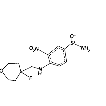 N[S+]([O-])c1ccc(NCC2(F)CCOCC2)c([N+](=O)[O-])c1